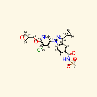 CS(=O)(=O)NC(=O)c1ccc2c(c1)c(C1CC1)nn2-c1cnc(OCC2COC2)c(Cl)c1